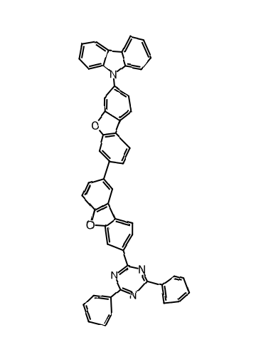 c1ccc(-c2nc(-c3ccccc3)nc(-c3ccc4c(c3)oc3ccc(-c5ccc6c(c5)oc5cc(-n7c8ccccc8c8ccccc87)ccc56)cc34)n2)cc1